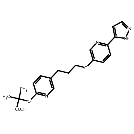 CC(C)(Oc1ccc(CCCOc2ccc(-c3ccn[nH]3)nc2)cn1)C(=O)O